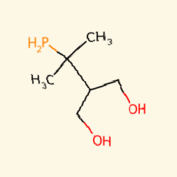 CC(C)(P)C(CO)CO